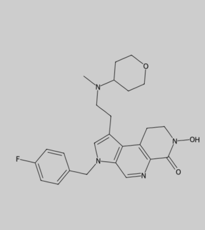 CN(CCc1cn(Cc2ccc(F)cc2)c2cnc3c(c12)CCN(O)C3=O)C1CCOCC1